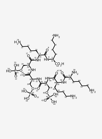 NCCCC[C@H](NC(=O)[C@H](CCCCN)NC(=O)[C@H](COP(=O)(O)O)NC(=O)[C@H](COP(=O)(O)O)NC(=O)[C@H](COP(=O)(O)O)NC(=O)[C@H](CCCCN)NC(=O)[C@@H](N)CCCCN)C(=O)O